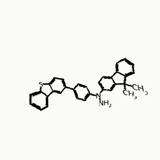 CC1(C)c2ccccc2-c2ccc(N(N)c3ccc(-c4ccc5sc6ccccc6c5c4)cc3)cc21